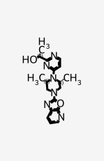 C[C@@H]1CN(c2nc3cccnc3o2)C[C@H](C)N1c1ccnc([C@@H](C)O)n1